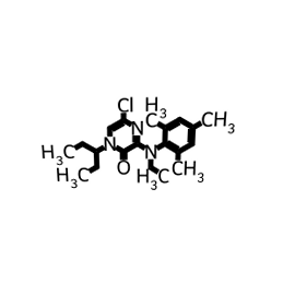 CCC(CC)n1cc(Cl)nc(N(CC)c2c(C)cc(C)cc2C)c1=O